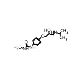 CNC(=O)Nc1ccc(OCC(O)CNC(C)C)cc1